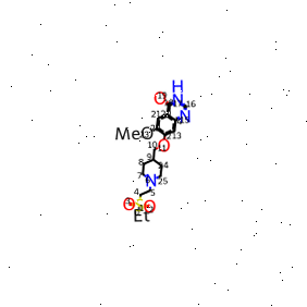 CCS(=O)(=O)CCN1CCC(COc2cc3nc[nH]c(=O)c3cc2OC)CC1